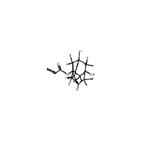 C=CC(=O)OC12C(F)(F)C3(O)C(F)(F)C(O)(C(F)(F)C(F)(C3(F)F)C1(F)F)C2(F)F